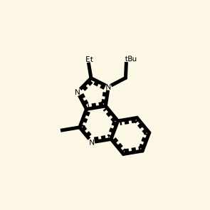 CCc1nc2c(C)nc3ccccc3c2n1CC(C)(C)C